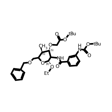 CCO[C@@H]1OC(COCc2ccccc2)[C@@H](C)[C@H](OCC(=O)OC(C)(C)C)C1NC(=O)c1cccc(NC(=O)OC(C)(C)C)c1